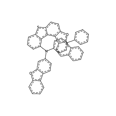 c1ccc(-c2ccc(N(c3ccc4c(c3)oc3ccccc34)c3cccc4sc5ccc6oc7c8ccccc8ccc7c6c5c34)cc2)cc1